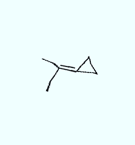 CC(C)=C1CC1